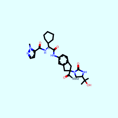 CNC(=O)C1(N2CC(C(C)(C)O)NC2=O)Cc2ccc(NC(=O)[C@@H](NC(=O)c3ccnn3C)C3CCCCC3)cc2C1